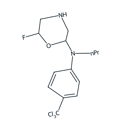 CCCN(c1ccc(C(Cl)(Cl)Cl)cc1)C1CNCC(F)O1